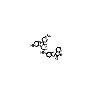 CCC1(C(=O)N(CC(=O)Nc2ccc3c(c2)C[C@@]2(C3)C(=O)Nc3ncccc32)[C@H]2CCCNC2)CCN(C(C)=O)CC1